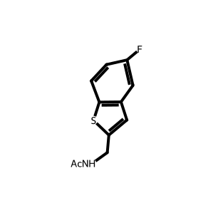 CC(=O)NCc1cc2cc(F)ccc2s1